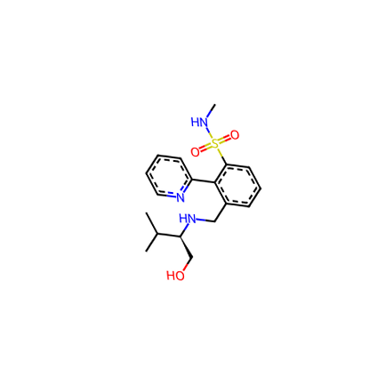 CNS(=O)(=O)c1cccc(CN[C@@H](CO)C(C)C)c1-c1ccccn1